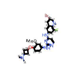 COc1cc(Nc2nccc(Nc3cc(F)c4ncc(Br)cc4c3)n2)ccc1OC1CC(N(C)C)C1